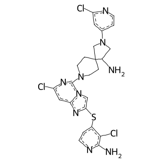 Nc1nccc(Sc2cn3c(N4CCC5(CC4)CN(c4ccnc(Cl)c4)CC5N)nc(Cl)cc3n2)c1Cl